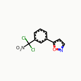 O=[N+]([O-])C(Cl)(Cl)c1cccc(-c2ccno2)c1